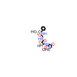 CCCC(NC(=O)[C@@H]1CC(=O)CN1C=O)C(=O)C(=O)NCC(=O)NC(C(=O)O)c1ccccc1